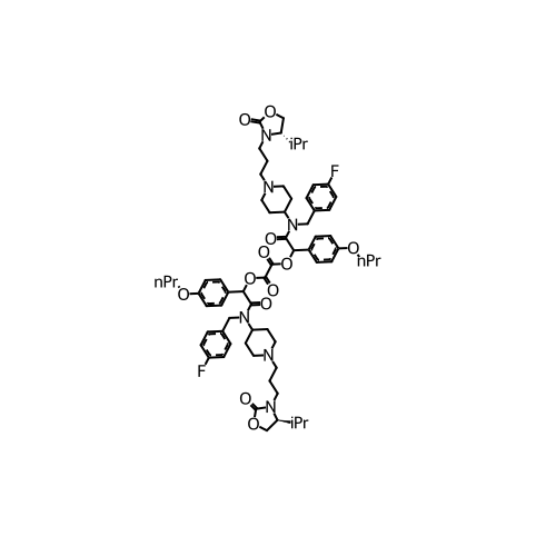 CCCOc1ccc(C(OC(=O)C(=O)OC(C(=O)N(Cc2ccc(F)cc2)C2CCN(CCCN3C(=O)OC[C@@H]3C(C)C)CC2)c2ccc(OCCC)cc2)C(=O)N(Cc2ccc(F)cc2)C2CCN(CCCN3C(=O)OC[C@@H]3C(C)C)CC2)cc1